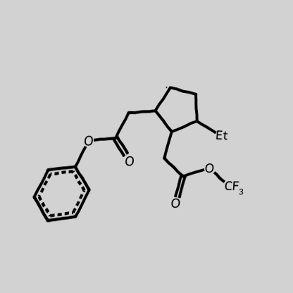 [CH2]CC1C[CH]C(CC(=O)Oc2ccccc2)C1CC(=O)OC(F)(F)F